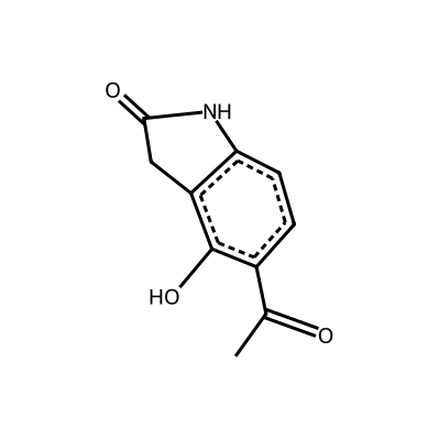 CC(=O)c1ccc2c(c1O)CC(=O)N2